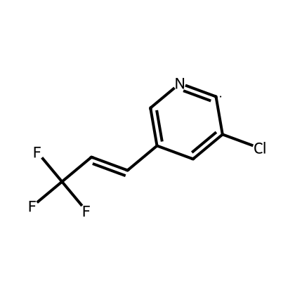 FC(F)(F)/C=C/c1cn[c]c(Cl)c1